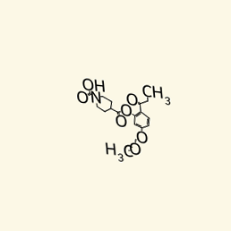 CCC(=O)c1ccc(OCOC)cc1OC(=O)C1CCN(C(=O)O)CC1